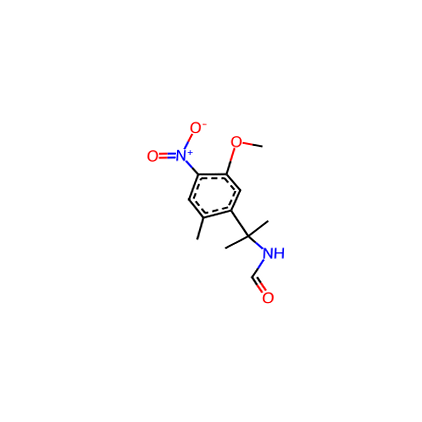 COc1cc(C(C)(C)NC=O)c(C)cc1[N+](=O)[O-]